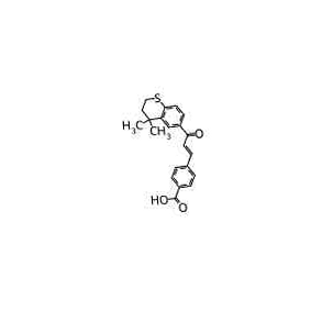 CC1(C)CCSc2ccc(C(=O)C=Cc3ccc(C(=O)O)cc3)cc21